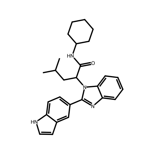 CC(C)CC(C(=O)NC1CCCCC1)n1c(-c2ccc3[nH]ccc3c2)nc2ccccc21